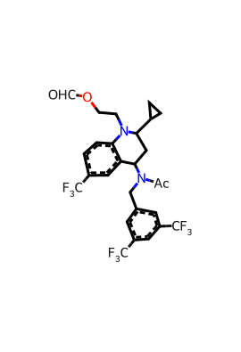 CC(=O)N(Cc1cc(C(F)(F)F)cc(C(F)(F)F)c1)C1CC(C2CC2)N(CCOC=O)c2ccc(C(F)(F)F)cc21